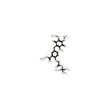 COC(=O)c1cc(CC2=C(C)C(=O)C(OC)=C(OC)C2=O)ccc1OCC(=O)OC(C)(C)C